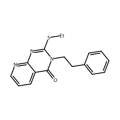 CCSc1nc2ncccc2c(=O)n1CCc1ccccc1